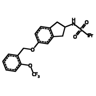 CC(C)S(=O)(=O)NC1Cc2ccc(OCc3ccccc3OC(F)(F)F)cc2C1